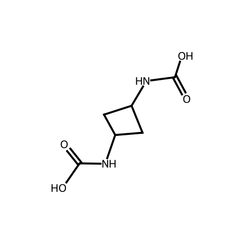 O=C(O)NC1CC(NC(=O)O)C1